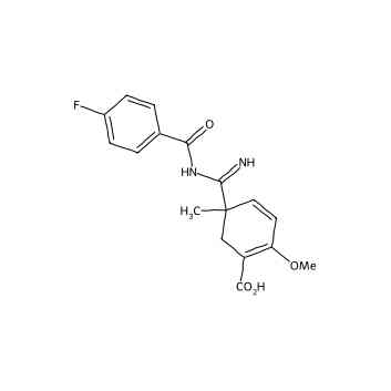 COC1=C(C(=O)O)CC(C)(C(=N)NC(=O)c2ccc(F)cc2)C=C1